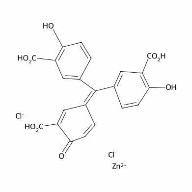 O=C(O)C1=CC(=C(c2ccc(O)c(C(=O)O)c2)c2ccc(O)c(C(=O)O)c2)C=CC1=O.[Cl-].[Cl-].[Zn+2]